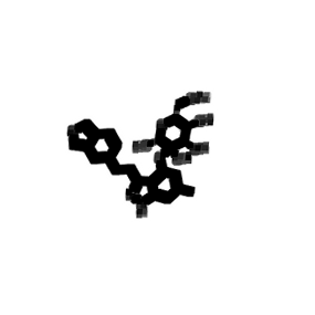 CC(=O)OC[C@H]1O[C@@H](O)[C@@](O)(Oc2cc(C)cc3[nH]nc(CCc4ccc5cocc5c4)c23)[C@@H](O)[C@@H]1O